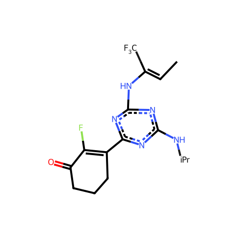 CC=C(Nc1nc(NC(C)C)nc(C2=C(F)C(=O)CCC2)n1)C(F)(F)F